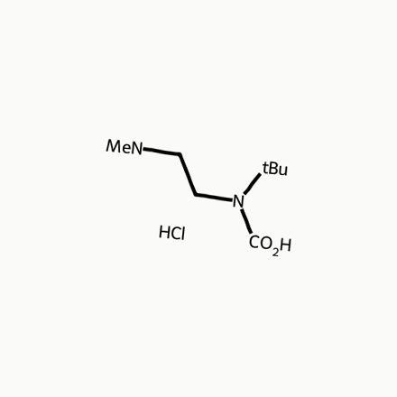 CNCCN(C(=O)O)C(C)(C)C.Cl